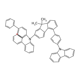 CC1(C)c2cc(N(c3ccc(-c4ccccc4)cc3)c3ccccc3-c3ccccc3)ccc2-c2c(-c3ccc(-n4c5ccccc5c5ccccc54)cc3)cccc21